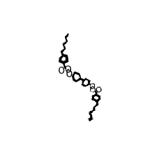 CCCCCCc1ccc(C(=O)OOC2=CCC(C3CCC(OOC(=O)c4ccc(CCCCCC)cc4)CC3)CC2)cc1